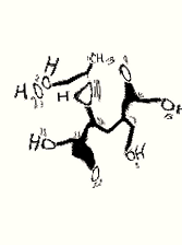 CCO.O.O=C(O)C(O)C(O)C(=O)O